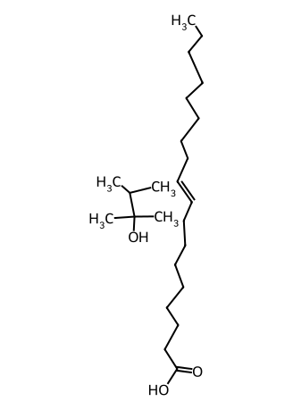 CC(C)C(C)(C)O.CCCCCCCCC=CCCCCCCCC(=O)O